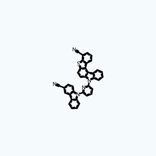 N#Cc1ccc2c(c1)c1ccccc1n2-c1cccc(-n2c3ccccc3c3c4c(ccc32)sc2c(C#N)cccc24)n1